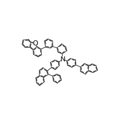 c1ccc(-c2c(-c3ccc(N(c4ccc(-c5ccc6ccccc6c5)cc4)c4cccc(-c5cccc(-c6cccc7c6oc6ccccc67)c5)c4)cc3)ccc3ccccc23)cc1